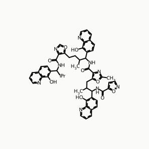 Cc1nc(C(=O)NC(c2ccc3cccnc3c2O)C(C)CCc2ocnc2C(=O)NC(c2ccc3cccnc3c2O)C(C)C)c(CC(C)C(NC(=O)c2ccno2)c2ccc3cccnc3c2O)o1